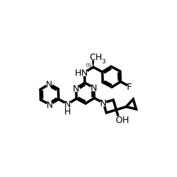 C[C@H](Nc1nc(Nc2cnccn2)cc(N2CC(O)(C3CC3)C2)n1)c1ccc(F)cc1